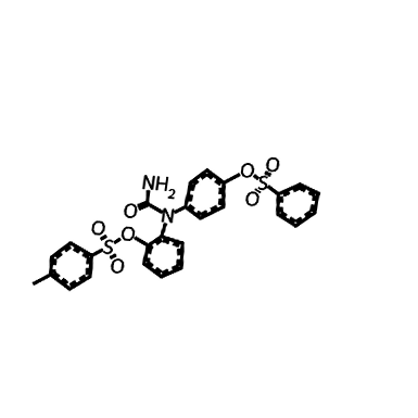 Cc1ccc(S(=O)(=O)Oc2ccccc2N(C(N)=O)c2ccc(OS(=O)(=O)c3ccccc3)cc2)cc1